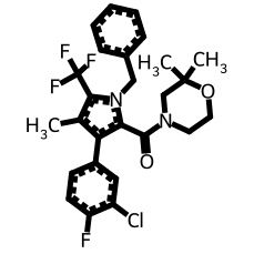 Cc1c(-c2ccc(F)c(Cl)c2)c(C(=O)N2CCOC(C)(C)C2)n(Cc2ccccc2)c1C(F)(F)F